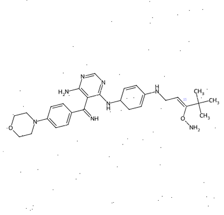 CC(C)(C)/C(=C/CNC1=CCC(Nc2ncnc(N)c2C(=N)c2ccc(N3CCOCC3)cc2)C=C1)ON